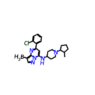 Bc1cnn2c(NC3CCN(C4CCCC4C)CC3)cc(-c3ccccc3Cl)nc12